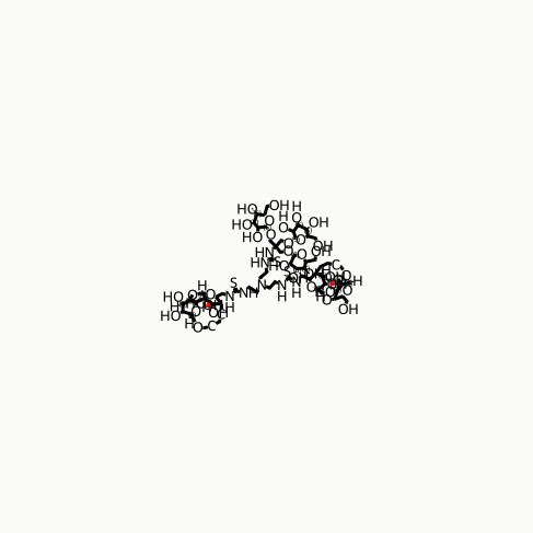 OCC1O[C@@H]2OCCCCC3C(CNC(=S)NCCN(CCNC(=S)NCC4O[C@@H]5OC6C(CO)O[C@H](OCCCCC4[C@H](O)C5O)C(O)[C@H]6O)CCNC(=S)NC(CO[C@H]4OC(CO)[C@@H](O)[C@H](O)C4O)(CO[C@H]4OC(CO)[C@@H](O)[C@H](O)C4O)CO[C@H]4OC(CO)[C@@H](O)[C@H](O)C4O)O[C@H](OC1[C@H](O)C2O)C(O)[C@H]3O